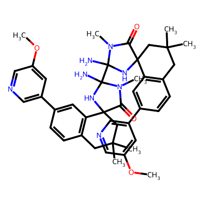 COc1cncc(-c2ccc3c(c2)C2(CC(C)(C)C3)NC(N)(C3(N)NC4(CC(C)(C)Cc5ccc(-c6cncc(OC)c6)cc54)C(=O)N3C)N(C)C2=O)c1